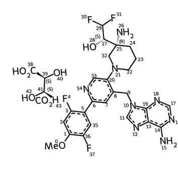 COc1cc(F)c(-c2cc(Cn3cnc4c(N)ncnc43)c(N3CCC[C@](N)([C@H](O)C(F)F)C3)cn2)cc1F.O=C(O)[C@@H](O)[C@H](O)C(=O)O